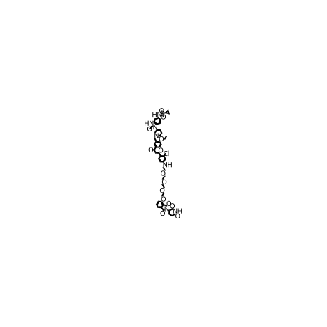 CCOc1cc2oc(-c3ccc(NCCOCCOCCOCCOc4cccc5c4C(=O)N(C4CCC(=O)NC4=O)C5=O)cc3Cl)cc(=O)c2cc1CN1CCC=C(n2c(=O)[nH]c3cc(NS(=O)(=O)C4CC4)ccc32)C1